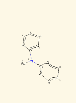 CC(=O)N(c1cc[c]cc1)c1ccccc1